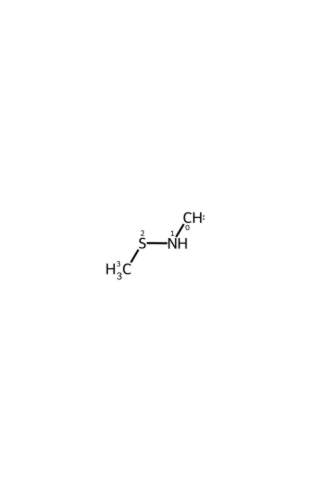 [CH]NSC